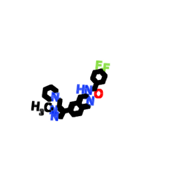 Cn1ncc(-c2ccc3cnc(NC(=O)C4CCC(F)(F)CC4)cc3c2)c1CN1CCCCC1